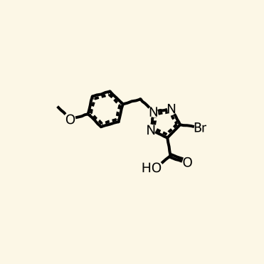 COc1ccc(Cn2nc(Br)c(C(=O)O)n2)cc1